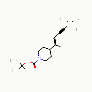 CC(=CC#C[Si](C)(C)C)C1CCN(C(=O)OC(C)(C)C)CC1